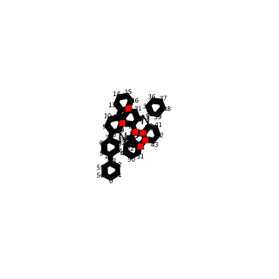 c1ccc(-c2ccc3c4ccc(-c5ccccc5)cc4n(-c4ccccc4-c4ccccc4N(c4ccccc4)c4cccc5c4oc4ccccc45)c3c2)cc1